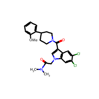 COc1ccccc1C1CCN(C(=O)c2cn(CC(=O)N(C)C)c3cc(Cl)c(Cl)cc23)CC1